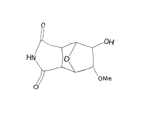 COC1C(O)C2OC1C1C(=O)NC(=O)C21